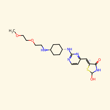 COCCOCCN[C@H]1CC[C@H](Nc2nccc(/C=C3\SC(O)NC3=O)n2)CC1